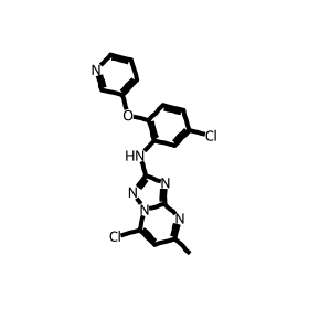 Cc1cc(Cl)n2nc(Nc3cc(Cl)ccc3Oc3cccnc3)nc2n1